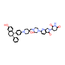 O=C1CCC(N2Cc3nc(N4CCN(CC5(O)CCN(c6ccc([C@@H]7c8ccc(O)cc8CC[C@@H]7c7ccccc7)cc6)CC5)CC4)ccc3C2=O)C(=O)N1